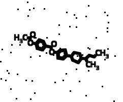 CCCC(C)C1CCC(c2ccc(OC(=O)c3ccc(OC(C)=O)cc3)cc2)CC1